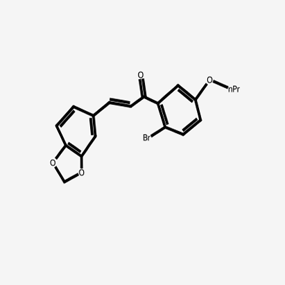 CCCOc1ccc(Br)c(C(=O)C=Cc2ccc3c(c2)OCO3)c1